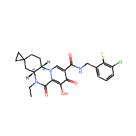 CCN1C(=O)c2c(O)c(=O)c(C(=O)NCc3cccc(Cl)c3F)cn2[C@H]2CCC3(CC3)C[C@H]21